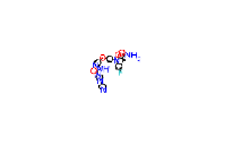 CN1CCC(N2CCN(C(=O)Nc3cc(Oc4ccc(N(C(=O)C5(C(N)=O)CC5)c5ccc(F)cc5)cc4)ccn3)CC2)CC1